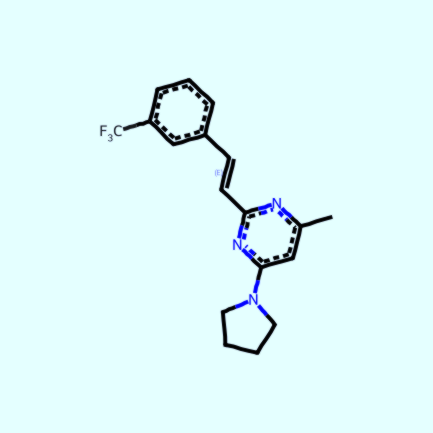 Cc1cc(N2CCCC2)nc(/C=C/c2cccc(C(F)(F)F)c2)n1